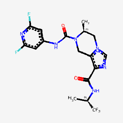 C[C@H]1Cn2cnc(C(=O)N[C@H](C)C(F)(F)F)c2CN1C(=O)Nc1cc(F)nc(F)c1